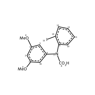 COc1cc(OC)cc(N(C(=O)O)c2ccccc2I)c1